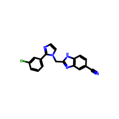 N#Cc1ccc2[nH]c(Cn3ccnc3-c3cccc(Cl)c3)nc2c1